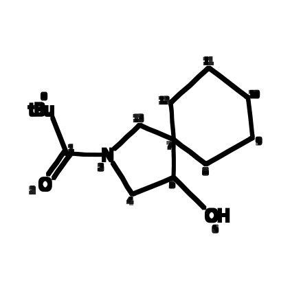 CC(C)(C)C(=O)N1CC(O)C2(CCCCC2)C1